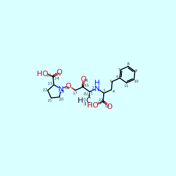 C[C@H](NC(CCc1ccccc1)C(=O)O)C(=O)CON1CCCC1C(=O)O